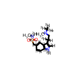 [2H]c1c(C([2H])([2H])CN(C)C([2H])([2H])[2H])c2cc(CS(=O)(=O)N([2H])C)ccc2n1[2H]